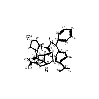 CC(=O)N1C[C@H]2CC[C@@H](C1)[C@@H]2C(=O)N1C[C@H](F)C[C@H]1C(=O)N[C@@H](c1ccccc1)c1ccc(C(C)C)cc1